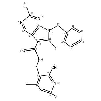 Cc1cc(C)c(CNC(=O)c2c(C)n(Cc3ccccc3)c3nc(Cl)ncc23)c(O)n1